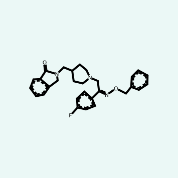 O=C1c2ccccc2CN1CC1CCN(C/C(=N\OCc2ccccc2)c2ccc(F)cc2)CC1